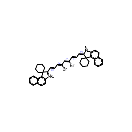 CN1/C(=C/C=C/C(Br)=C/C(Br)=C/C=C/C2=[N+](C)c3ccc4ccccc4c3C23CCCCC3)C2(CCCCC2)c2c1ccc1ccccc21